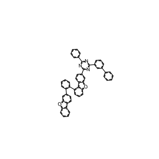 c1ccc(-c2cccc(-c3nc(-c4ccccc4)nc(-c4ccc5c(c4)oc4cccc(-c6ccccc6-c6ccc7c(c6)oc6ccccc67)c45)n3)c2)cc1